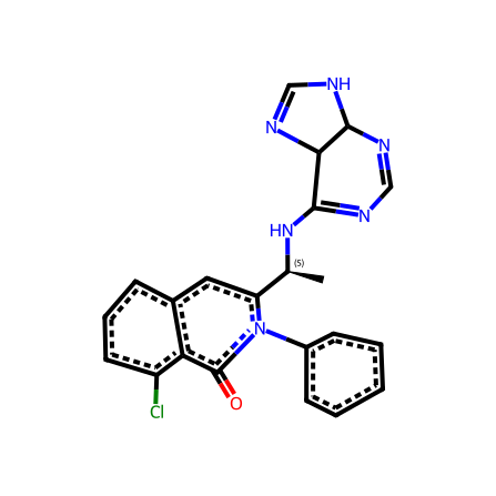 C[C@H](NC1=NC=NC2NC=NC12)c1cc2cccc(Cl)c2c(=O)n1-c1ccccc1